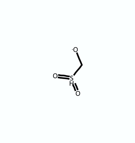 [O]C[SH](=O)=O